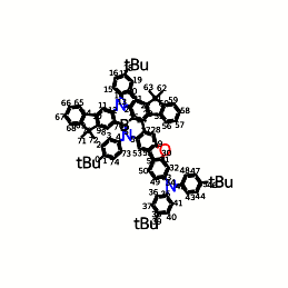 CC(C)(C)c1ccc(N2B3c4cc5c(cc4-n4c6ccc(C(C)(C)C)cc6c6c7c(c(c3c64)-c3cc4oc6cc(N(c8ccc(C(C)(C)C)cc8)c8ccc(C(C)(C)C)cc8)ccc6c4cc32)-c2ccccc2C7(C)C)-c2ccccc2C5(C)C)cc1